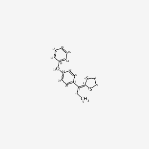 CCC(=C1SCCS1)c1ccc(Oc2ccccc2)cc1